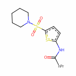 CCCC(=O)Nc1ccc(S(=O)(=O)N2CCCCC2)s1